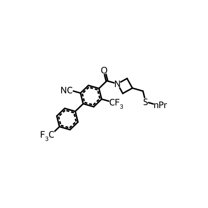 CCCSCC1CN(C(=O)c2cc(C#N)c(-c3ccc(C(F)(F)F)cc3)cc2C(F)(F)F)C1